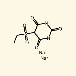 CCS(=O)(=O)C1C(=O)[N-]C(=O)[N-]C1=O.[Na+].[Na+]